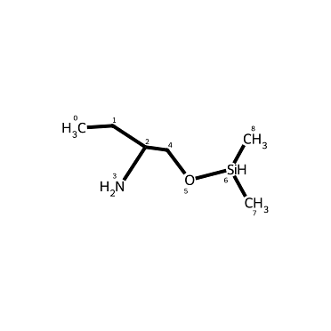 CCC(N)CO[SiH](C)C